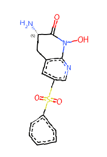 N[C@H]1Cc2cc(S(=O)(=O)c3ccccc3)cnc2N(O)C1=O